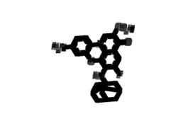 Nc1ccc2c(c1)Oc1c(NC34CC5CC(CC(C5)C3)C4)c(F)cc3c(=O)c(C(=O)O)cn-2c13